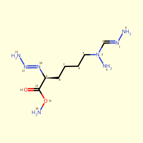 NN=CN(N)CCCC[C@H](N=NN)C(=O)ON